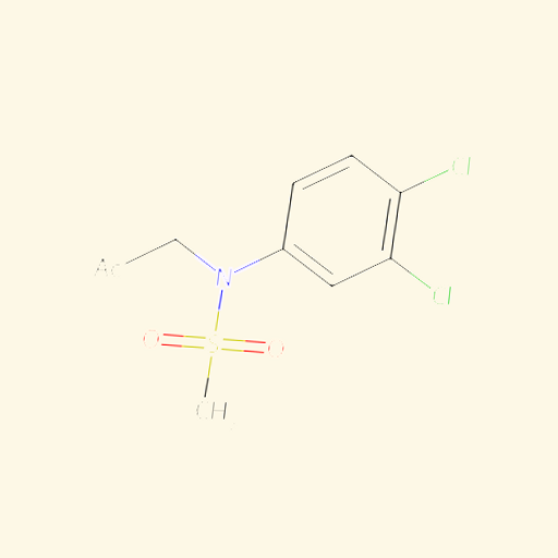 CC(=O)CN(c1ccc(Cl)c(Cl)c1)S(C)(=O)=O